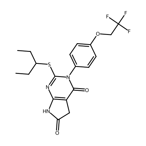 CCC(CC)Sc1nc2c(c(=O)n1-c1ccc(OCC(F)(F)F)cc1)CC(=O)N2